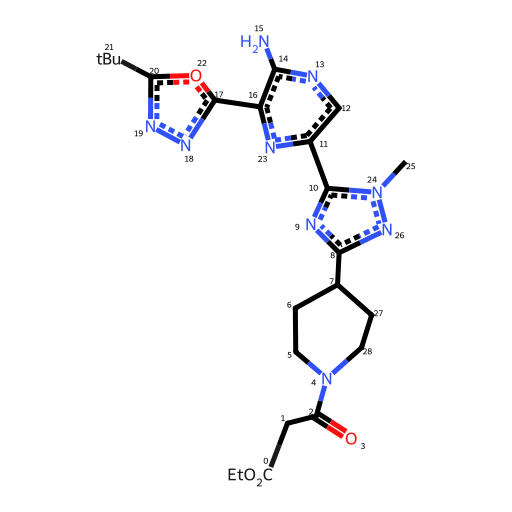 CCOC(=O)CC(=O)N1CCC(c2nc(-c3cnc(N)c(-c4nnc(C(C)(C)C)o4)n3)n(C)n2)CC1